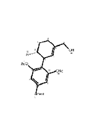 CCCCCc1cc(OC(C)=O)c(C2C=C(CO)CC[C@H]2C(C)C)c(OC(C)=O)c1